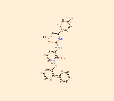 Cc1ccc([C@H](CC(=O)O)NC(=O)Nc2cccn(Cc3ccccc3-c3ccccc3)c2=O)cc1